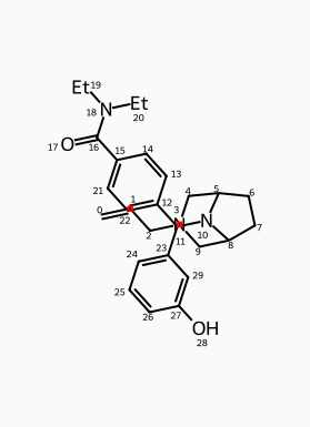 C=CCN1CC2CCC(C1)N2C(c1ccc(C(=O)N(CC)CC)cc1)c1cccc(O)c1